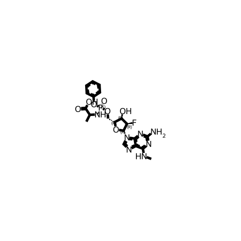 CNc1nc(N)nc2c1ncn2[C@@H]1O[C@H](CO[P@@](=O)(NC(C)C(=O)O)Oc2ccccc2)[C@@H](O)[C@H]1F